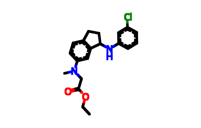 CCOC(=O)CN(C)c1ccc2c(c1)C(Nc1cccc(Cl)c1)CC2